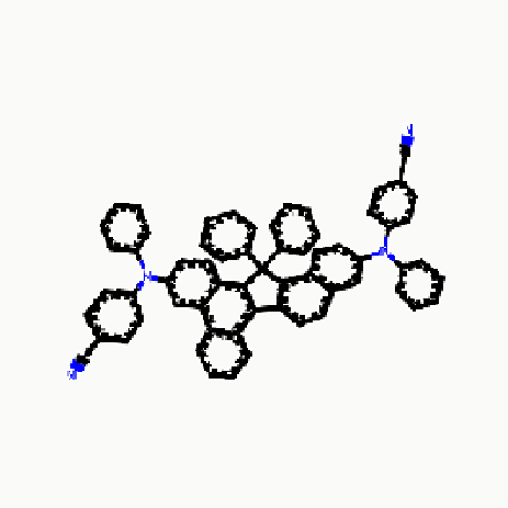 N#Cc1ccc(N(c2ccccc2)c2ccc3c4c(ccc3c2)-c2c(c3ccc(N(c5ccccc5)c5ccc(C#N)cc5)cc3c3ccccc23)C4(c2ccccc2)c2ccccc2)cc1